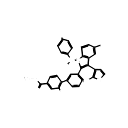 COC(=O)c1ccc(-c2cccc(-c3c(-c4ccsc4C#N)c4cc(F)ccc4n3[S+]([O-])c3ccc(F)cc3)c2)c(Cl)c1